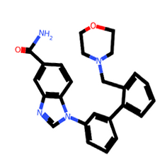 NC(=O)c1ccc2c(c1)ncn2-c1cccc(-c2ccccc2CN2CCOCC2)c1